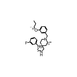 CC[C@@H](C)Oc1cccc(CN2CC[C@]3(CNSN3c3cccc(F)c3)C[C@@H]2C)c1